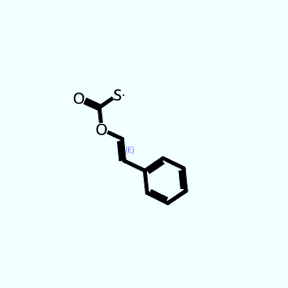 O=C([S])O/C=C/c1ccccc1